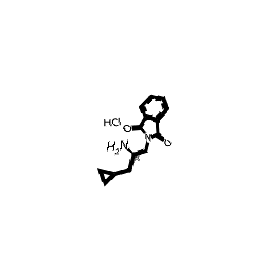 Cl.N[C@H](CC1CC1)CN1C(=O)c2ccccc2C1=O